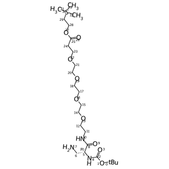 CC(C)(C)OC(=O)N[C@H](CN)C(=O)NCCOCCOCCOCCOCCC(=O)OCCS(C)(C)C